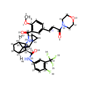 COc1ccc(/C=C/C(=O)N2CCOCC2)cc1C(=O)N[C@H]1[C@@H](C(=O)Nc2ccc(F)c(C(F)(F)F)c2)[C@H]2CC[C@@H]1/C2=C\C1CC1